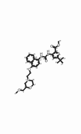 COCC1CN(CCOc2ccc(NC(=O)Nc3cc(C(C)(C)C)sc3C(=O)OC)c3ccccc23)CCO1